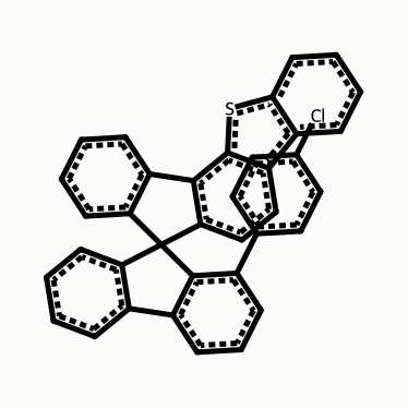 Clc1ccc(-c2cccc3c2C2(c4ccccc4-3)c3ccccc3-c3c2ccc2c3sc3ccccc32)cc1